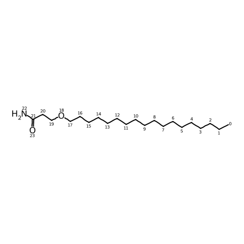 CCCCCCCCCCCCCCCCCCOCCC(N)=O